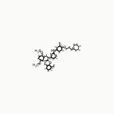 COc1ccc(OC)c(CN(C(=O)Oc2c(F)cccc2F)c2ccnc(Nc3ccc(OCCCN4CCCCC4)c(F)c3)n2)c1